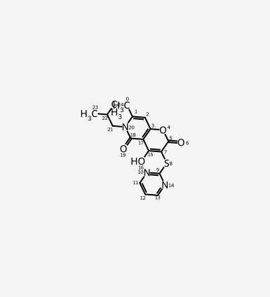 Cc1cc2oc(=O)c(Sc3ncccn3)c(O)c2c(=O)n1CC(C)C